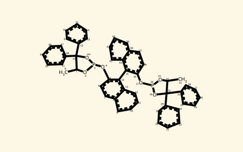 CC1OP(Oc2ccc3ccccc3c2-c2c(OP3OC(C)C(c4ccccc4)(c4ccccc4)O3)ccc3ccccc23)OC1(c1ccccc1)c1ccccc1